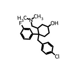 CN(C)CC1CC(O)CCC1(Cc1ccc(Cl)cc1)c1cccc(F)c1